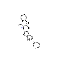 O=C1Oc2ccccc2C(=O)/C1=C/c1cc2sc(-c3ccccc3)nc2s1